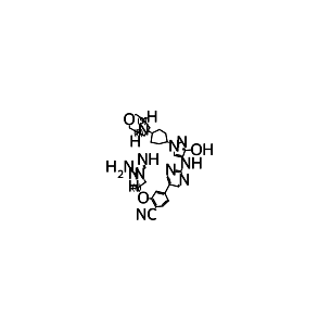 C[C@@H](CN(C=N)NN)Oc1cc(-c2cnc(Nc3cn([C@H]4CC[C@H](N5[C@@H]6CC[C@H]5COC6)CC4)nc3O)nc2)ccc1C#N